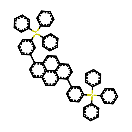 c1ccc(S(c2ccccc2)(c2ccccc2)c2cccc(-c3ccc4ccc5c(-c6cccc(S(c7ccccc7)(c7ccccc7)c7ccccc7)c6)ccc6ccc3c4c65)c2)cc1